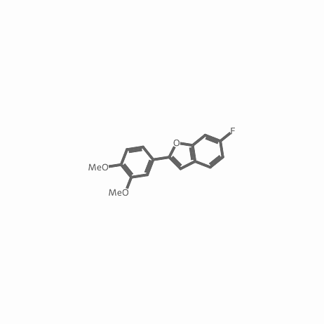 COc1ccc(-c2cc3ccc(F)cc3o2)cc1OC